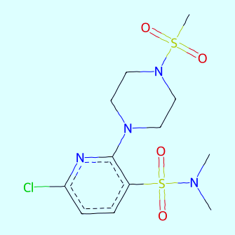 CN(C)S(=O)(=O)c1ccc(Cl)nc1N1CCN(S(C)(=O)=O)CC1